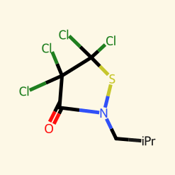 CC(C)CN1SC(Cl)(Cl)C(Cl)(Cl)C1=O